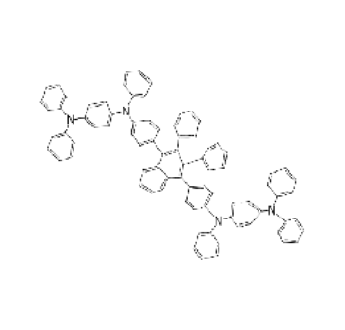 c1ccc(-c2c(-c3ccccc3)c(-c3ccc(N(c4ccccc4)c4ccc(N(c5ccccc5)c5ccccc5)cc4)cc3)c3ccccc3c2-c2ccc(N(c3ccccc3)c3ccc(N(c4ccccc4)c4ccccc4)cc3)cc2)cc1